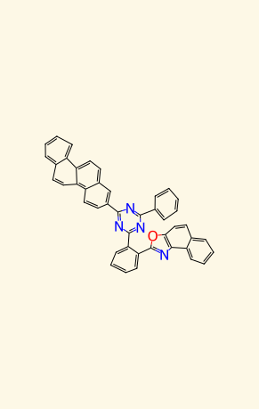 c1ccc(-c2nc(-c3ccc4c(ccc5c6ccccc6ccc45)c3)nc(-c3ccccc3-c3nc4c(ccc5ccccc54)o3)n2)cc1